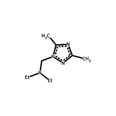 CCN(CC)Cn1nc(C)nc1C